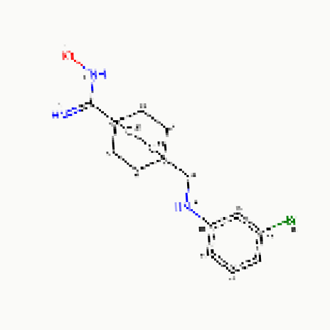 N=C(NO)C12CCC(CNc3cccc(Br)c3)(CC1)CC2